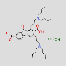 CCCCN(CCCC)CCCc1cc2c(c(CCCN(CCCC)CCCC)c1C(=O)O)C(=O)c1cc(C(=O)O)ccc1-2.Cl.Cl